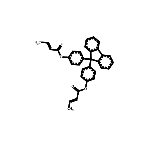 CC=CC(=O)Oc1ccc(C2(c3ccc(OC(=O)C=CC)cc3)c3ccccc3-c3ccccc32)cc1